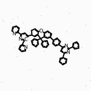 C1=C2Oc3ccc(-c4ccc(-c5cc(-c6ccccc6)nc(-c6ccccc6)n5)cc4)cc3C(c3ccccc3)(c3ccccc3)C2=CC(c2cc(-c3ccccn3)nc(-c3ccccn3)c2)C1